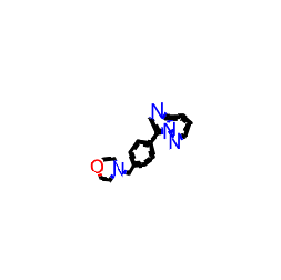 c1cnn2c(-c3ccc(CN4CCOCC4)cc3)cnc2c1